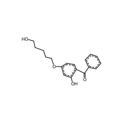 O=C(c1ccccc1)c1ccc(OCCCCCO)cc1O